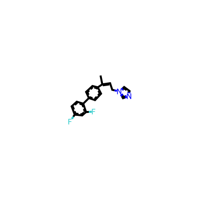 C/C(=C/Cn1ccnc1)c1ccc(-c2ccc(F)cc2F)cc1